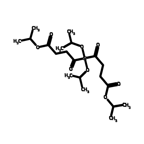 CC(C)OC(=O)CCC(=O)[Si](OC(C)C)(OC(C)C)C(=O)CCC(=O)OC(C)C